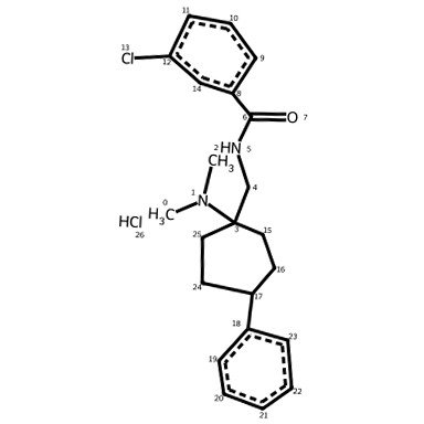 CN(C)C1(CNC(=O)c2cccc(Cl)c2)CCC(c2ccccc2)CC1.Cl